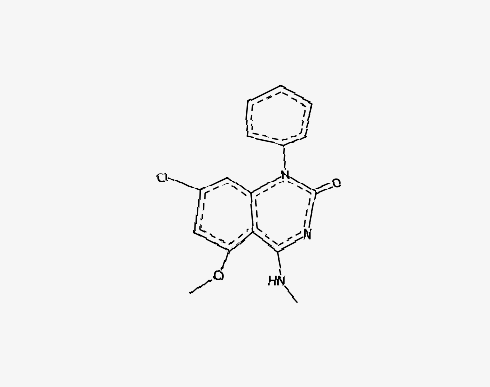 CNc1nc(=O)n(-c2ccccc2)c2cc(Cl)cc(OC)c12